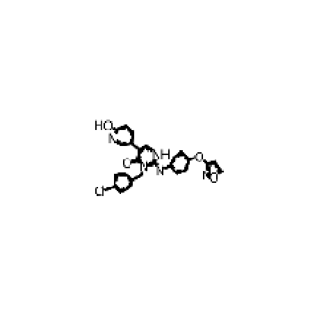 O=c1c(-c2ccc(O)nc2)c[nH]/c(=N\c2ccc(Oc3ccon3)cc2)n1Cc1ccc(Cl)cc1